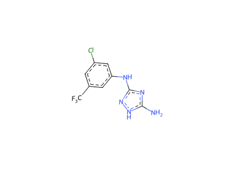 Nc1nc(Nc2cc(Cl)cc(C(F)(F)F)c2)n[nH]1